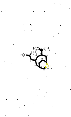 C=C(C)C1CC(CC(C)C)CC2C=[SH]C(CC2)C1